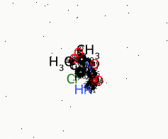 COc1cc2c(cc1OC(C)C)[C@H](c1ccc(Cl)cc1)N(c1ccc(C(=O)C3C4CNCC3COC4)cc1)C(=O)C2